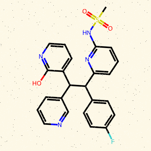 CS(=O)(=O)Nc1cccc(C(c2ccc(F)cc2)C(c2cccnc2)c2cccnc2O)n1